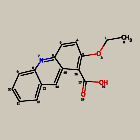 CCOc1ccc2nc3ccccc3cc2c1C(=O)O